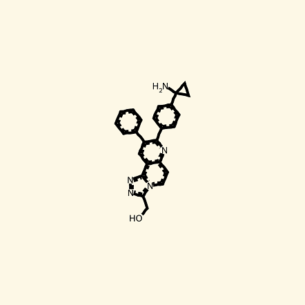 NC1(c2ccc(-c3nc4ccn5c(CO)nnc5c4cc3-c3ccccc3)cc2)CC1